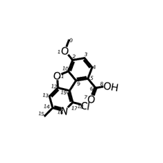 COc1ccc(C(=O)O)c2c1oc1cc(C)nc(Cl)c12